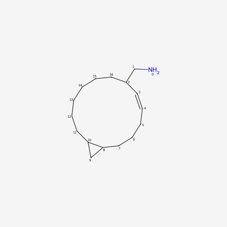 NCC1/C=C\CCCC2CC2CCCCCC1